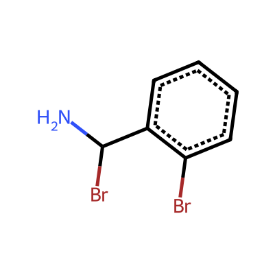 NC(Br)c1ccccc1Br